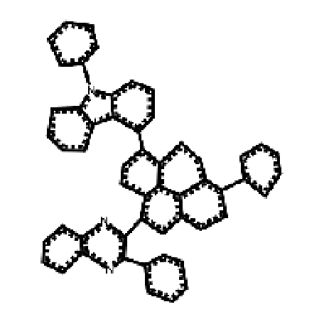 c1ccc(-c2nc3ccccc3nc2-c2cc3ccc(-c4ccccc4)c4ccc5c(-c6cccc7c6c6ccccc6n7-c6ccccc6)ccc2c5c34)cc1